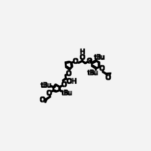 CC(C)(C)c1cc(OCC2CO2)c(C(C)(C)C)cc1OCC(O)COc1cccc(OCC(O)COc2cc(C(C)(C)C)c(OCC3CO3)cc2C(C)(C)C)c1